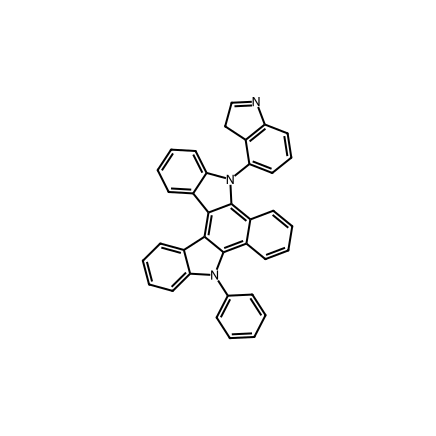 C1=Nc2cccc(-n3c4ccccc4c4c5c6ccccc6n(-c6ccccc6)c5c5ccccc5c43)c2C1